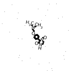 CCN(CC)CCOc1ccc(C2C(=O)NCCN2C=O)cc1